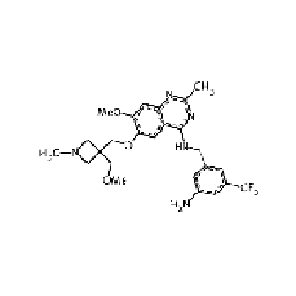 COCC1(COc2cc3c(NCc4cc(N)cc(C(F)(F)F)c4)nc(C)nc3cc2OC)CN(C)C1